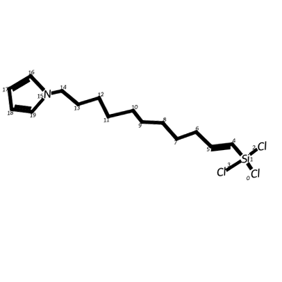 Cl[Si](Cl)(Cl)C=CCCCCCCCCCn1cccc1